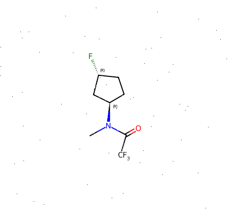 CN(C(=O)C(F)(F)F)[C@@H]1CC[C@@H](F)C1